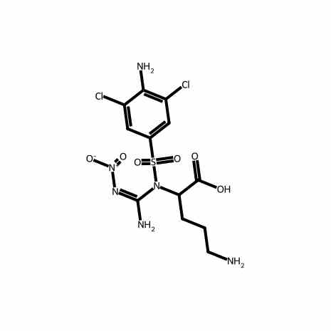 NCCCC(C(=O)O)N(/C(N)=N\[N+](=O)[O-])S(=O)(=O)c1cc(Cl)c(N)c(Cl)c1